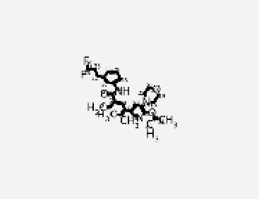 C=C/C(=C\C(=C(C)C)c1cnc(OC(C)C)c(N2CCOCC2)c1)C(=O)Nc1cccc(CCC(F)F)c1